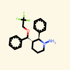 NN1CCC[C@H](C(OCC(F)(F)F)c2ccccc2)[C@H]1c1ccccc1